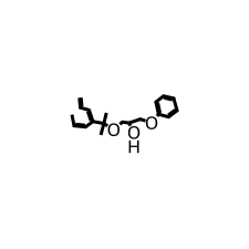 C=C/C=C(\C=C/C)C(C)(C)OCC(O)COc1ccccc1